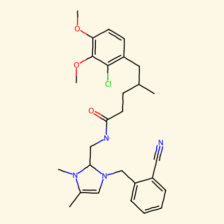 COc1ccc(CC(C)CCC(=O)[N]CC2N(Cc3ccccc3C#N)C=C(C)N2C)c(Cl)c1OC